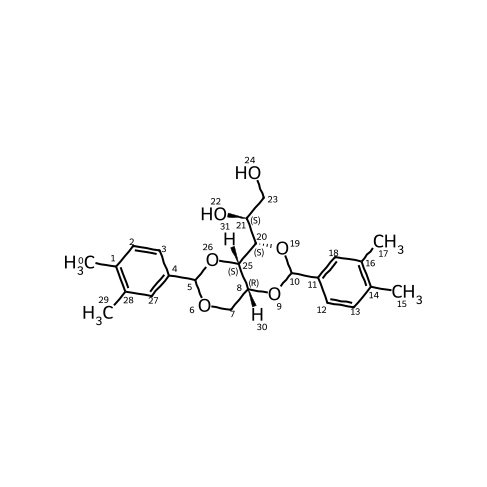 Cc1ccc(C2OC[C@H]3OC(c4ccc(C)c(C)c4)O[C@@H]([C@@H](O)CO)[C@H]3O2)cc1C